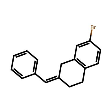 Brc1ccc2c(c1)CC(=Cc1ccccc1)CC2